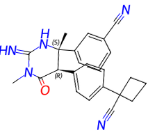 CN1C(=N)N[C@](C)(c2cccc(C#N)c2)[C@@H](c2ccc(C3(C#N)CCC3)cc2)C1=O